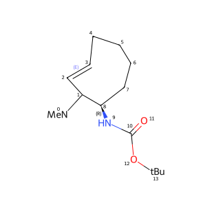 CNC1/C=C/CCCC[C@H]1NC(=O)OC(C)(C)C